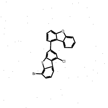 Clc1cc(-c2cccc3oc4ccccc4c23)cc2sc3c(Br)cccc3c12